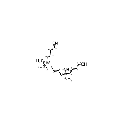 CC(C)(CCCCO)OCCCCC(C)(F)OCCCCO